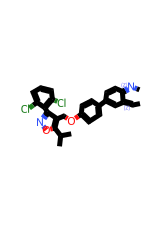 C/C=C1/C=C(c2ccc(OCc3c(-c4c(Cl)cccc4Cl)noc3C(C)C)cc2)C=C/C1=N/C